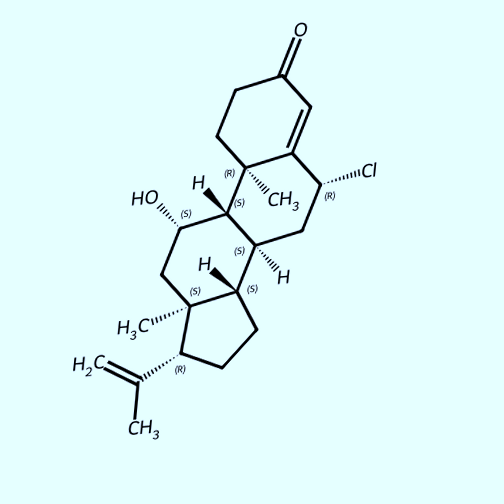 C=C(C)[C@H]1CC[C@H]2[C@@H]3C[C@@H](Cl)C4=CC(=O)CC[C@]4(C)[C@H]3[C@@H](O)C[C@]12C